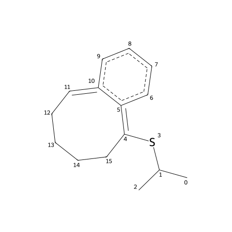 CC(C)S/C1=c2\cccc\c2=C\CCCC1